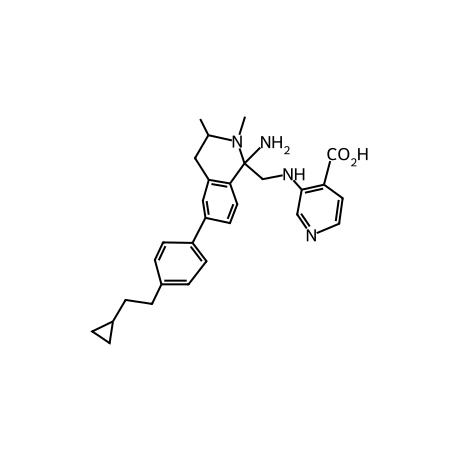 CC1Cc2cc(-c3ccc(CCC4CC4)cc3)ccc2C(N)(CNc2cnccc2C(=O)O)N1C